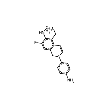 CCc1c2c(cc(F)c1NC)CN(c1ccc(N)cc1)C=C2